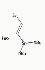 Br.CCC=[CH][Sn]([CH2]CCC)[CH2]CCC